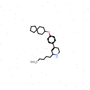 CCOC(=O)CCCCC1C=C(c2ccc(OC3CCC4(CCCC4)CC3)cc2)CCN1